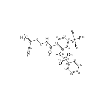 C=C(C#N)CCNC(=O)c1ccc(C(F)(F)F)cc1NS(=O)(=O)c1ccccc1